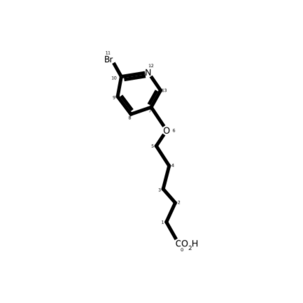 O=C(O)CCCCCOc1ccc(Br)nc1